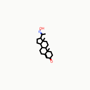 C/C(=N\O)C1CCC2C3CCC4=CC(=O)CCC4(C)C3CCC12C